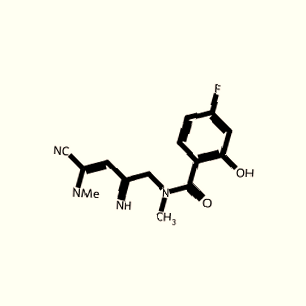 CN/C(C#N)=C\C(=N)CN(C)C(=O)c1ccc(F)cc1O